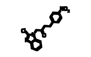 O=C(CCc1ccc([N+](=O)[O-])cc1)Cn1c(Cl)nc2ccccc21